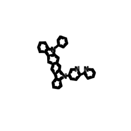 c1ccc(-n2c3ccccc3c3cc4cc5c6ccccc6n(-c6ccc(-c7ccccn7)nc6)c5cc4cc32)cc1